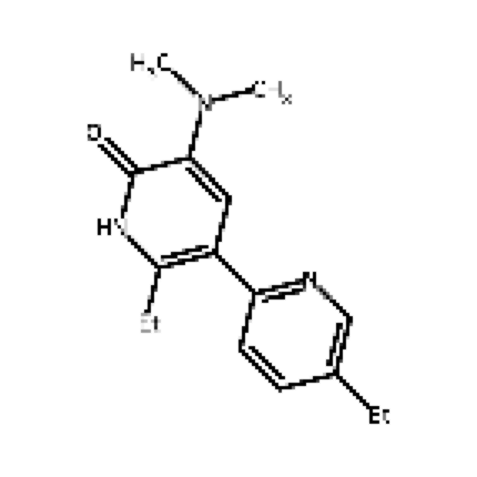 CCc1ccc(-c2cc(N(C)C)c(=O)[nH]c2CC)nc1